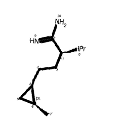 CC(C)[C@@H](CCC1C[C@@H]1C)C(=N)N